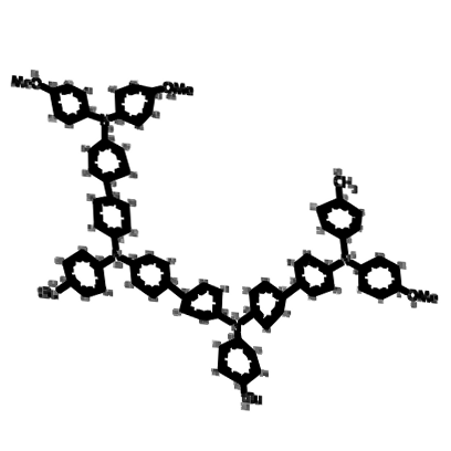 COc1ccc(N(c2ccc(C)cc2)c2ccc(-c3ccc(N(c4ccc(-c5ccc(N(c6ccc(-c7ccc(N(c8ccc(OC)cc8)c8ccc(OC)cc8)cc7)cc6)c6ccc(C(C)(C)C)cc6)cc5)cc4)c4ccc(C(C)(C)C)cc4)cc3)cc2)cc1